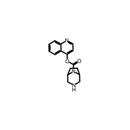 O=C(Oc1ccnc2ccccc12)N1C2CCC1CNC2